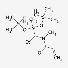 C=CC(=O)N(C)C(CC)[Si](C)(O[Si](C)(C)C)O[Si](C)(C)C